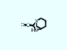 O=C=C1NC2CCCN1C2